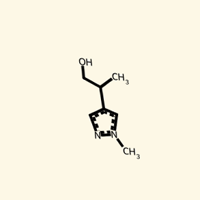 CC(CO)c1cnn(C)c1